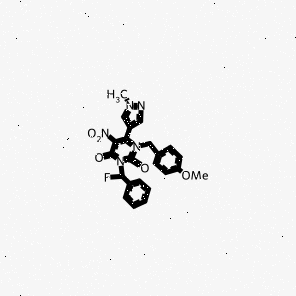 COc1ccc(Cn2c(-c3cnn(C)c3)c([N+](=O)[O-])c(=O)n(C(F)c3ccccc3)c2=O)cc1